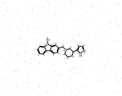 CCn1c2ccccc2c2ccc(CN3CCCC(c4ccn[nH]4)C3)cc21